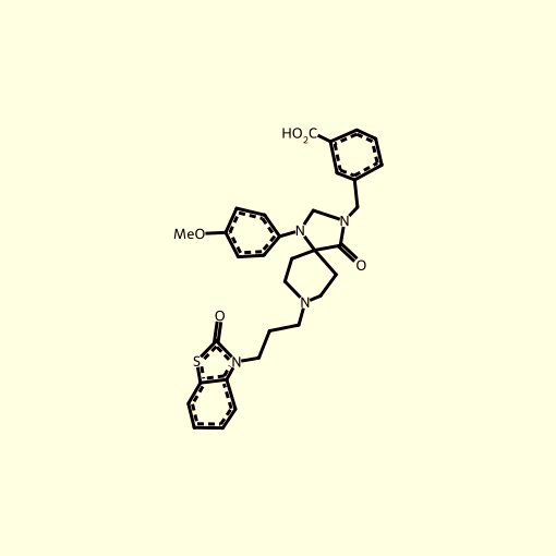 COc1ccc(N2CN(Cc3cccc(C(=O)O)c3)C(=O)C23CCN(CCCn2c(=O)sc4ccccc42)CC3)cc1